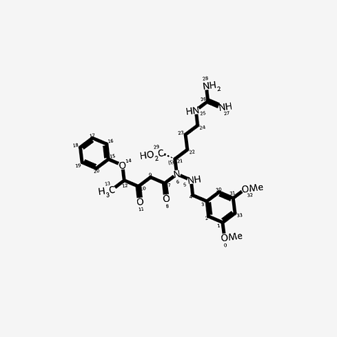 COc1cc(CNN(C(=O)CC(=O)C(C)Oc2ccccc2)[C@@H](CCCNC(=N)N)C(=O)O)cc(OC)c1